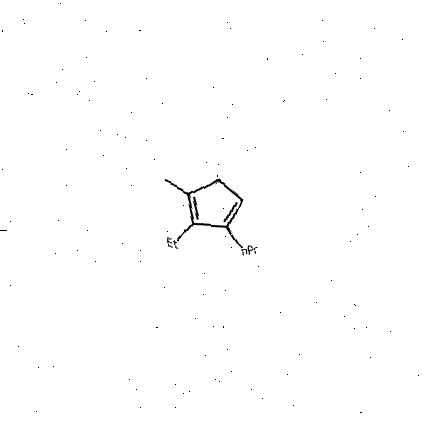 CCCC1=CCC(C)=C1CC